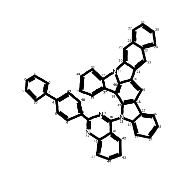 c1ccc(-c2ccc(-c3nc(-n4c5ccccc5c5cc6c7cc8ccccc8cc7n7c8ccccc8c(c54)c67)c4ccccc4n3)cc2)cc1